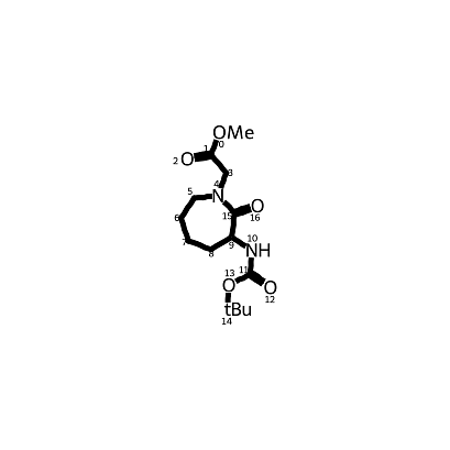 COC(=O)CN1CCCCC(NC(=O)OC(C)(C)C)C1=O